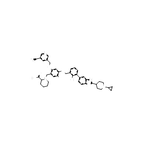 Cc1c(COc2cc(OCc3cncc(C#N)c3)c(CN3CCCCC3C(=O)O)cc2Cl)cccc1-c1ccc2oc(C3CCN(C4CC4)CC3)nc2c1